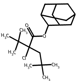 CC(C)(C)CC(Cl)(C(=O)OC1C2CC3CC(C2)CC1C3)C(C)(C)C